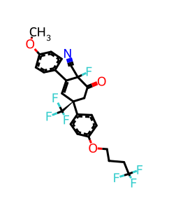 COc1ccc(C2=C[C@](c3ccc(OCCCC(F)(F)F)cc3)(C(F)(F)F)CC(=O)C2(F)C#N)cc1